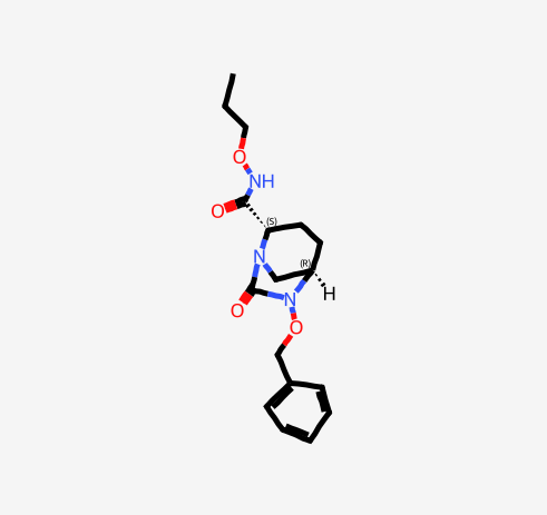 CCCONC(=O)[C@@H]1CC[C@@H]2CN1C(=O)N2OCc1ccccc1